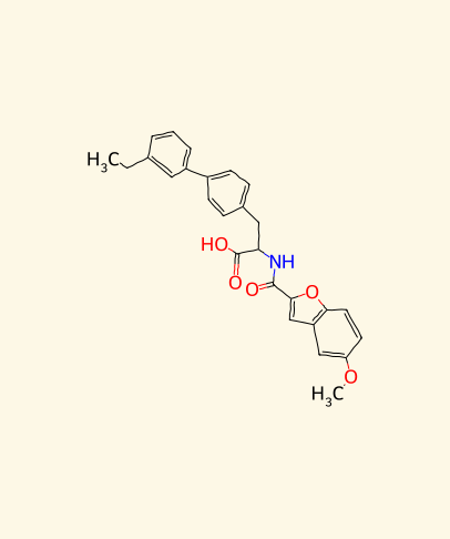 CCc1cccc(-c2ccc(CC(NC(=O)c3cc4cc(OC)ccc4o3)C(=O)O)cc2)c1